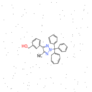 N#Cc1nn(C(C2=CC=CC=CC2)(c2ccccc2)c2ccccc2)nc1-c1cccc(CO)c1